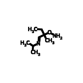 CCC(C)(C=NC(C)C)ON